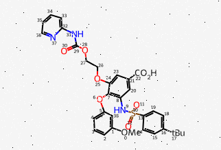 COc1cccc(Oc2c(NS(=O)(=O)c3ccc(C(C)(C)C)cc3)cc(C(=O)O)cc2OCCOC(=O)Nc2ccccn2)c1